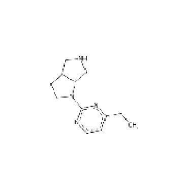 CCc1ccnc(N2CCC3CNCC32)n1